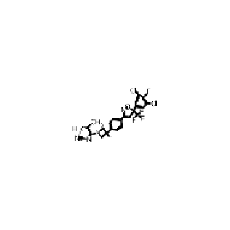 CC(C)C(=NC#N)N1CC(F)(c2ccc(C3=NOC(c4cc(Cl)c(F)c(Cl)c4)(C(F)(F)F)C3)cc2)C1